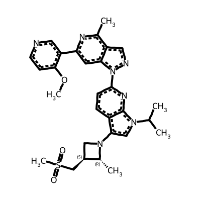 COc1ccncc1-c1cc2c(cnn2-c2ccc3c(N4C[C@H](CS(C)(=O)=O)[C@H]4C)cn(C(C)C)c3n2)c(C)n1